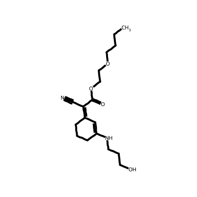 CCCCOCCOC(=O)/C(C#N)=C1\C=C(NCCCO)CCC1